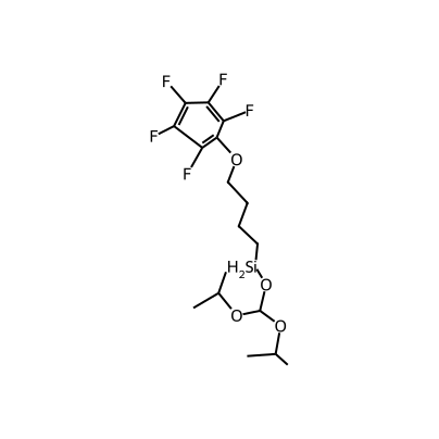 CC(C)OC(O[SiH2]CCCCOc1c(F)c(F)c(F)c(F)c1F)OC(C)C